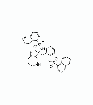 CC(Cc1ccccc1OS(=O)(=O)c1cccc2cnccc12)(NS(=O)(=O)c1cccc2cnccc12)C1CNCCCN1